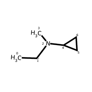 C[CH]N(C)C1CC1